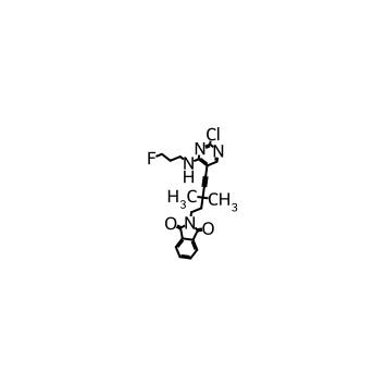 CC(C)(C#Cc1cnc(Cl)nc1NCCCF)CCN1C(=O)c2ccccc2C1=O